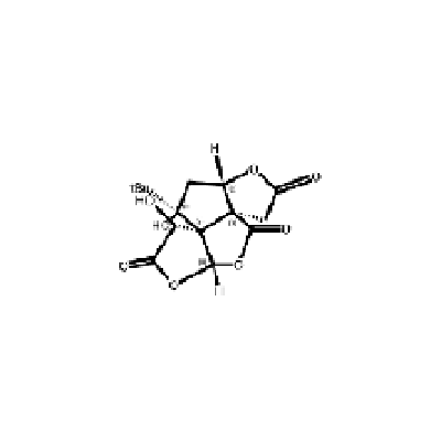 CC(C)(C)[C@]1(O)C[C@@H]2OC(=O)C[C@@]23C(=O)O[C@@H]2OC(=O)C(O)[C@]213